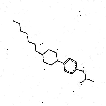 CCCCCCCC1CCC(c2ccc(OC(F)F)cc2)CC1